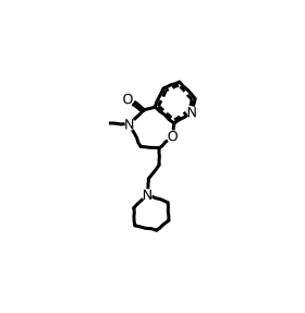 CN1CC(CCN2CCCCC2)Oc2ncccc2C1=O